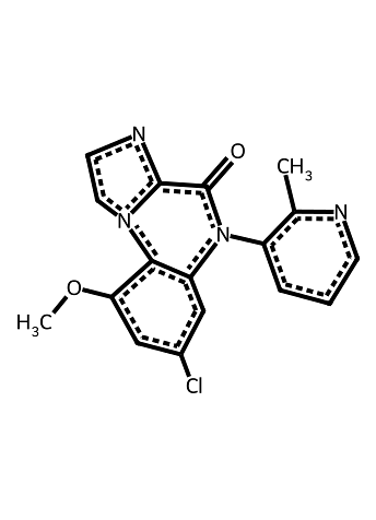 COc1cc(Cl)cc2c1n1ccnc1c(=O)n2-c1cccnc1C